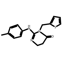 Cc1ccc(NC2=NCCC(=O)N2Cc2cccs2)cc1